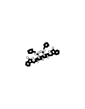 O=C1C(=O)c2ccccc2/C1=C/c1cc2c(s1)c1sc3c4sc(/C=C5\C(=O)C(=O)c6ccccc65)cc4n(C(=O)OCc4ccccc4)c3c1n2C(=O)OCc1ccccc1